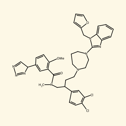 COc1ccc(C2C=NN=N2)cc1C(=O)N(C)CC(CCN1CCCN(c2nc3ccccc3n2Cc2ccco2)CC1)c1ccc(Cl)c(Cl)c1